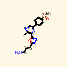 Cc1ncc(-c2ccc(S(=O)(=O)C(C)C)cc2)nc1-c1nnc(CCCN)o1